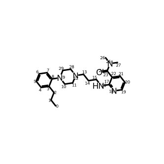 CCCc1ccccc1N1CCN(CCCNc2ncccc2C(=O)N(C)C)CC1